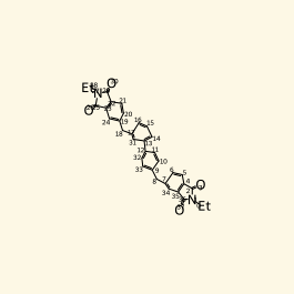 CCN1C(=O)c2ccc(Cc3ccc(-c4cccc(Cc5ccc6c(c5)C(=O)N(CC)C6=O)c4)cc3)cc2C1=O